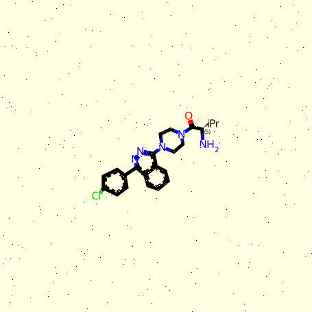 CC(C)[C@H](N)C(=O)N1CCN(c2nnc(-c3ccc(Cl)cc3)c3ccccc23)CC1